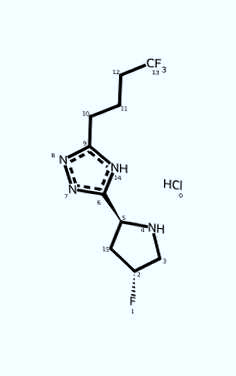 Cl.F[C@H]1CN[C@H](c2nnc(CCCC(F)(F)F)[nH]2)C1